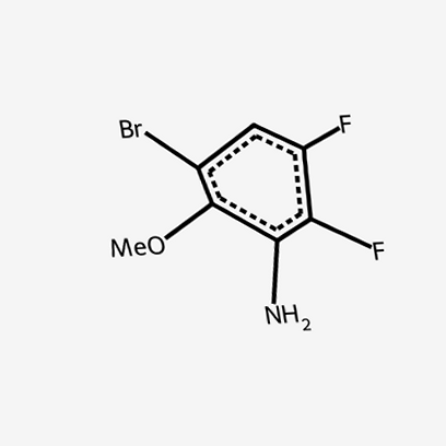 COc1c(Br)cc(F)c(F)c1N